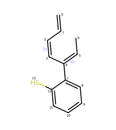 C=C/C=C\C(=C/C)c1ccccc1S